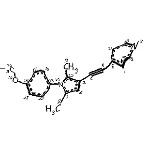 Cc1cc(C#Cc2ccncc2)c(C)n1-c1ccc(OC(F)(F)F)cc1